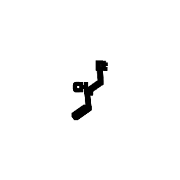 C.C=CCCCC